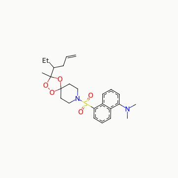 C=CCC(CC)C1(C)OOC2(CCN(S(=O)(=O)c3cccc4c(N(C)C)cccc34)CC2)O1